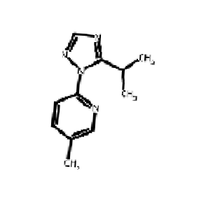 Cc1ccc(-n2ncnc2C(C)C)nc1